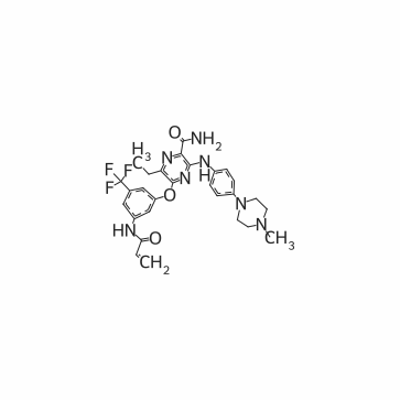 C=CC(=O)Nc1cc(Oc2nc(Nc3ccc(N4CCN(C)CC4)cc3)c(C(N)=O)nc2CC)cc(C(F)(F)F)c1